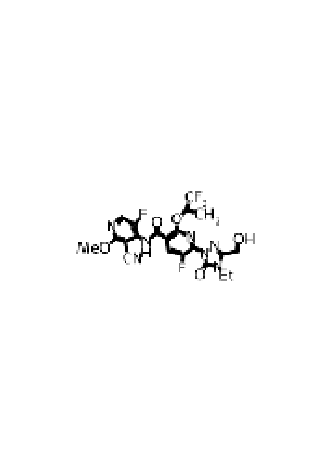 CCn1c(CO)nn(-c2nc(OC(C)C(F)(F)F)c(C(=O)Nc3c(F)cnc(OC)c3C#N)cc2F)c1=O